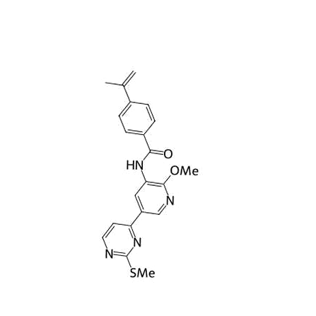 C=C(C)c1ccc(C(=O)Nc2cc(-c3ccnc(SC)n3)cnc2OC)cc1